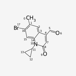 Cc1cc2c(C=O)cc(=O)n(C3CC3)c2cc1Br